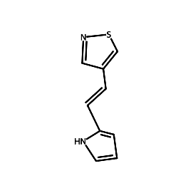 C(=Cc1ccc[nH]1)c1cnsc1